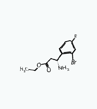 CCOC(=O)C[C@@H](N)c1ccc(F)cc1Br